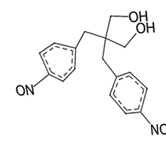 O=Nc1ccc(CC(CO)(CO)Cc2ccc([N+](=O)[O-])cc2)cc1